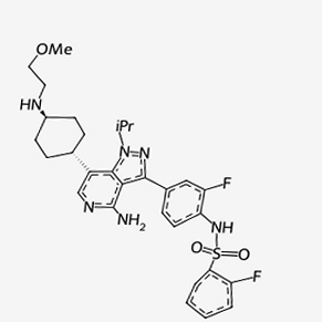 COCCN[C@H]1CC[C@H](c2cnc(N)c3c(-c4ccc(NS(=O)(=O)c5ccccc5F)c(F)c4)nn(C(C)C)c32)CC1